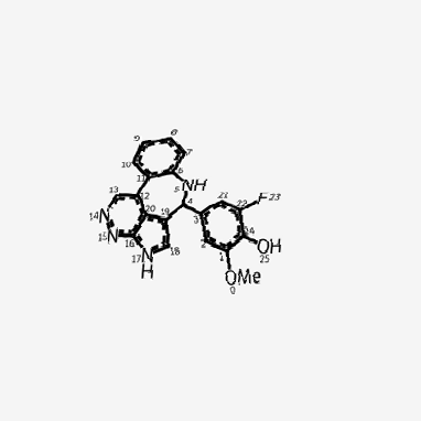 COc1cc(C2Nc3ccccc3-c3cnnc4[nH]cc2c34)cc(F)c1O